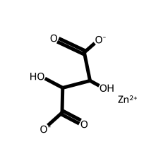 O=C([O-])C(O)C(O)C(=O)[O-].[Zn+2]